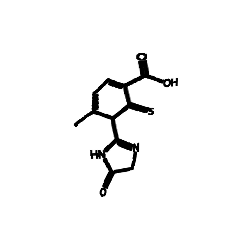 CC1=CC=C(C(=O)O)C(=S)C1C1=NCC(=O)N1